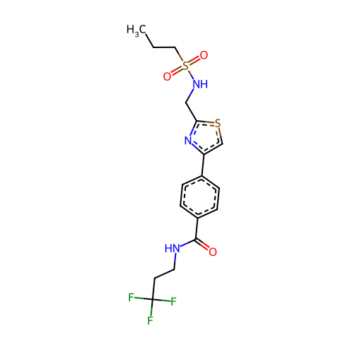 CCCS(=O)(=O)NCc1nc(-c2ccc(C(=O)NCCC(F)(F)F)cc2)cs1